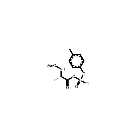 CON[C@@H](C)C(=O)OP(=O)(Cl)Oc1ccc(I)cc1